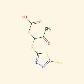 CC(=O)C(CC(=O)O)Sc1nnc(S)s1